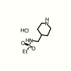 CCS(=O)(=O)NCC1CCNCC1.Cl